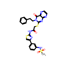 CS(=O)(=O)Nc1cccc(-c2csc(NC(=O)CSc3nc4nccnc4c(=O)n3CCc3ccccc3)n2)c1